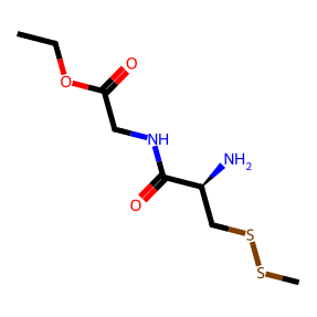 CCOC(=O)CNC(=O)[C@@H](N)CSSC